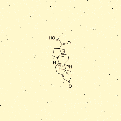 C[C@@H](O)C(=O)C12CCC3(CC1)[C@@H]1CCC4=CC(=O)CC[C@@H]4[C@H]1CC[C@]23C